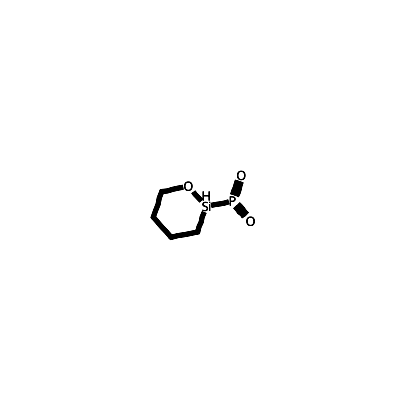 O=P(=O)[SiH]1CCCCO1